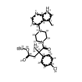 Cc1c[nH]c2ncnc(N3CCN(C(=O)C(N)(CC(=O)OC(C)(C)C)c4ccc(Cl)cc4)CC3)c12